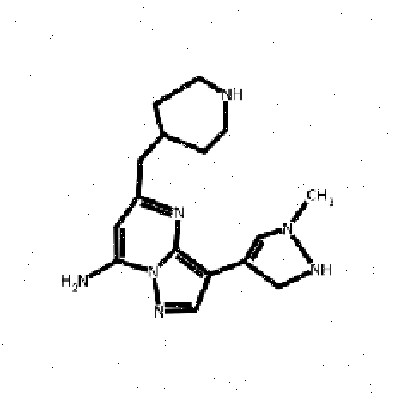 CN1C=C(c2cnn3c(N)cc(CC4CCNCC4)nc23)CN1